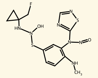 CNc1ccc(SN(O)NC2(CF)CC2)cc1N(N=O)c1ncns1